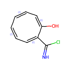 N=C(Cl)C1=C/C=C\C=C/C=C\1O